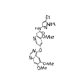 CCc1cc(NC(=O)Cc2ncc(Oc3ncnc4cc(OC)c(OC)cc34)cc2OC)n[nH]1